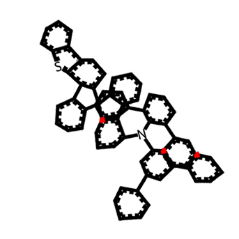 c1ccc(-c2cc(-c3ccccc3)cc(N(c3cccc4c3-c3ccccc3C43c4ccccc4-c4c3ccc3c4sc4ccccc43)c3c(-c4ccccc4)cccc3-c3ccccc3)c2)cc1